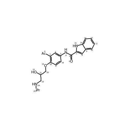 CC(=O)c1cc(NC(=O)c2cc3ccccc3[nH]2)ccc1OCC(O)CNC(C)C